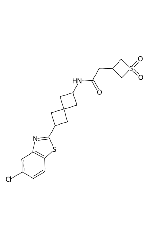 O=C(CC1CS(=O)(=O)C1)NC1CC2(C1)CC(c1nc3cc(Cl)ccc3s1)C2